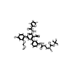 COCOc1cc(F)ccc1-c1cc(-c2cccc(NC(=O)CCN(C)C(=O)OC(C)(C)C)c2)c(C#N)c(NC(=O)c2ccco2)n1